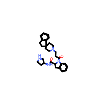 O=C(NC1CCNC1)C1Cc2ccccc2N1C(=O)CCN1CCC2(CCc3ccccc32)CC1